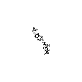 Cc1ncc(CC(=O)NCCCCN2CCc3ccc(OCC(F)(F)F)nc3CC2)s1